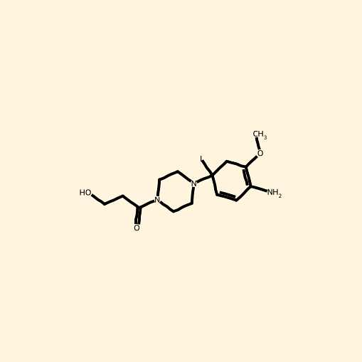 COC1=C(N)C=CC(I)(N2CCN(C(=O)CCO)CC2)C1